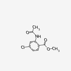 COC(=O)c1ccc(Cl)cc1NC(C)=O